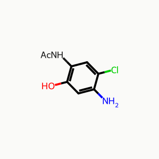 CC(=O)Nc1cc(Cl)c(N)cc1O